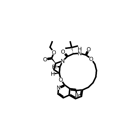 CCOC(=O)[C@@H]1C[C@H]2Oc3nccc4ccc(c(Br)c34)CCCCCOC(=O)N[C@@H](C(C)(C)C)C(=O)N1C2Br